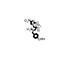 COc1ccc(CN(C)C[C@](C)(O)Cn2cc([N+](=O)[O-])nc2Cl)cc1